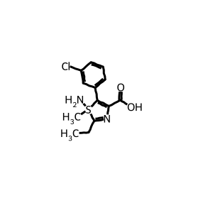 CCC1=NC(C(=O)O)=C(c2cccc(Cl)c2)S1(C)N